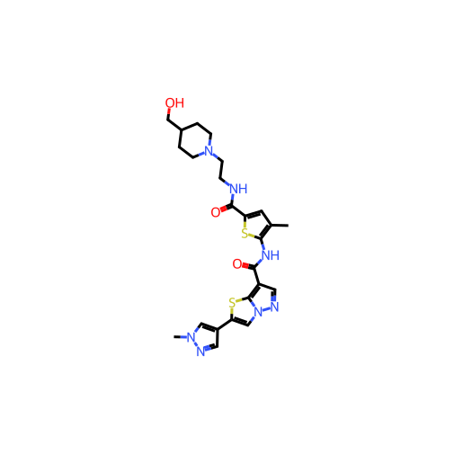 Cc1cc(C(=O)NCCN2CCC(CO)CC2)sc1NC(=O)c1cnn2cc(-c3cnn(C)c3)sc12